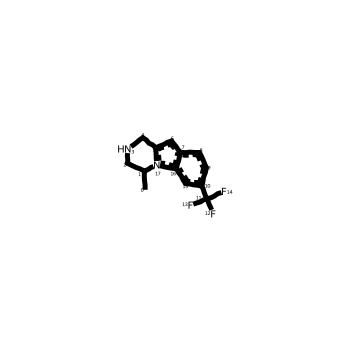 CC1CNCc2cc3ccc(C(F)(F)F)cc3n21